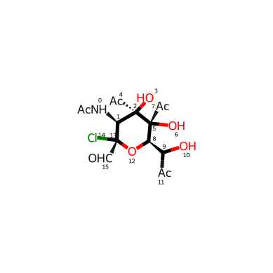 CC(=O)N[C@H]1[C@](O)(C(C)=O)[C@@](O)(C(C)=O)[C@@H](C(O)C(C)=O)O[C@@]1(Cl)C=O